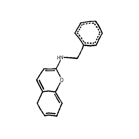 C1=CCC2=CC=C(NCc3ccccc3)OC2=C1